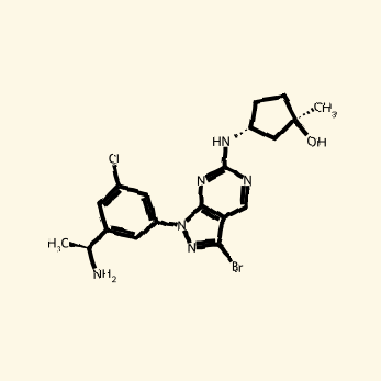 C[C@H](N)c1cc(Cl)cc(-n2nc(Br)c3cnc(N[C@@H]4CC[C@@](C)(O)C4)nc32)c1